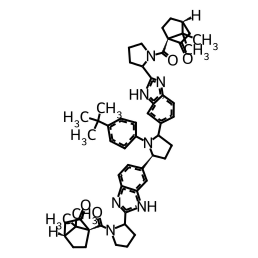 CC(C)(C)c1ccc(N2C(c3ccc4nc(C5CCCN5C(=O)[C@]56CC[C@H](CC5=O)C6(C)C)[nH]c4c3)CC[C@H]2c2ccc3nc(C4CCCN4C(=O)[C@]45CC[C@H](CC4=O)C5(C)C)[nH]c3c2)cc1